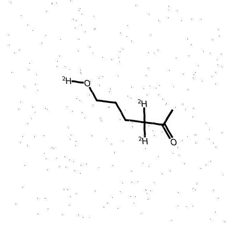 [2H]OCCCC([2H])([2H])C(C)=O